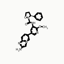 COc1ncc(-c2ccc3nc(N)cn3c2)cc1NC(=O)N1OCC[C@H]1c1ccccc1